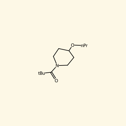 CCCOC1CCN(C(=O)C(C)(C)C)CC1